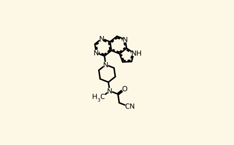 CN(C(=O)CC#N)C1CCN(c2ncnc3cnc4[nH]ccc4c23)CC1